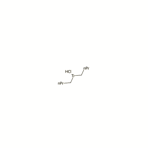 CCC[CH2][Ti][CH2]CCC.Cl